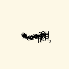 C[C@@](O)(C(F)F)[C@H](NCc1ccc(-c2ccc(OCCN3CCOCC3)cc2)cc1)C(=O)NO